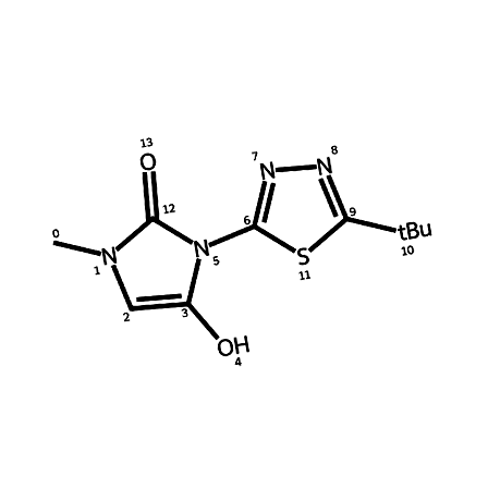 Cn1cc(O)n(-c2nnc(C(C)(C)C)s2)c1=O